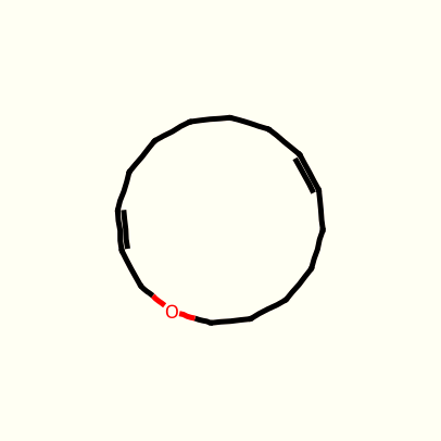 C1=CCCCCCOCC=CCCCCC1